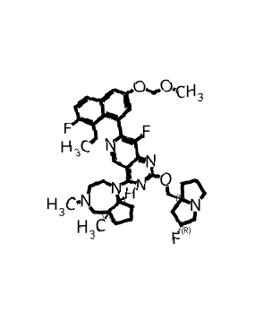 CCc1c(F)ccc2cc(OCOC)cc(-c3ncc4c(N5CCN(C)C[C@]6(C)CCC[C@@H]56)nc(OC[C@@]56CCCN5C[C@H](F)C6)nc4c3F)c12